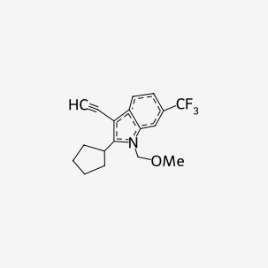 C#Cc1c(C2CCCC2)n(COC)c2cc(C(F)(F)F)ccc12